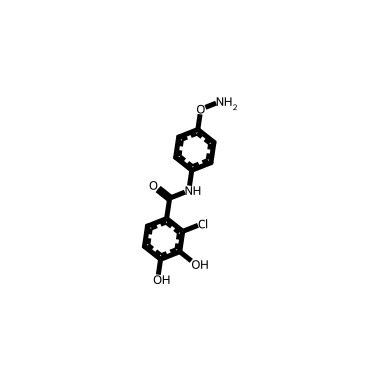 NOc1ccc(NC(=O)c2ccc(O)c(O)c2Cl)cc1